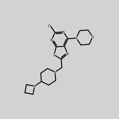 Clc1nc(N2CCOCC2)c2nc(CN3CCC(N4CCC4)CC3)sc2n1